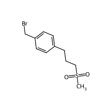 CS(=O)(=O)CCCc1ccc(CBr)cc1